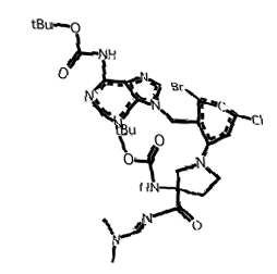 CN(C)/C=N/C(=O)C1(NC(=O)OC(C)(C)C)CCN(c2cc(Cl)cc(Br)c2Cn2cnc3c(NC(=O)OC(C)(C)C)ncnc32)C1